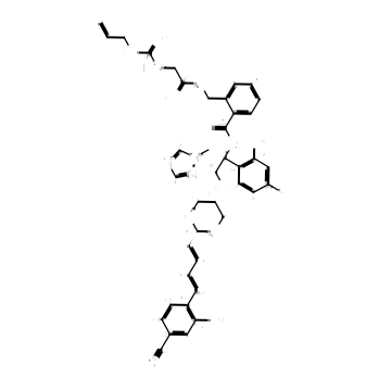 C=CCOC(=O)NCC(=O)OCc1ccccc1C(=O)O[C@@](Cn1cncn1)(c1ccc(F)cc1F)[C@@H](C)S[C@H]1CO[C@H](/C=C/C=C/c2ccc(C#N)cc2F)OC1